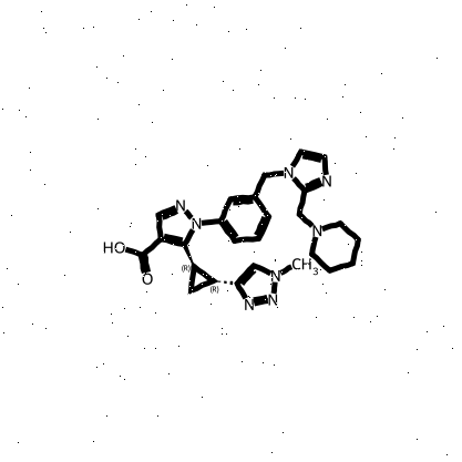 Cn1cc([C@@H]2C[C@H]2c2c(C(=O)O)cnn2-c2cccc(Cn3ccnc3CN3CCCCC3)c2)nn1